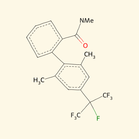 CNC(=O)c1ccccc1-c1c(C)cc(C(F)(C(F)(F)F)C(F)(F)F)cc1C